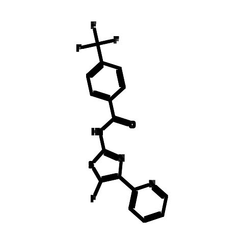 O=C(Nc1nc(-c2ccccn2)c(F)s1)c1ccc(C(F)(F)F)cc1